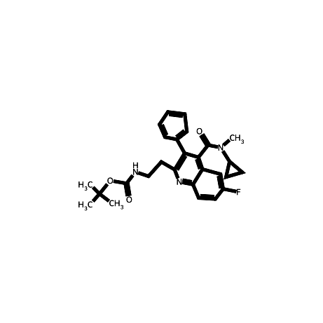 CN(C(=O)c1c(-c2ccccc2)c(CCNC(=O)OC(C)(C)C)nc2ccc(F)cc12)C1CC1